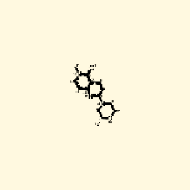 C[C@@H]1CN(c2ccc3c(=O)n(C)ccc3n2)CCO1